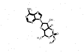 CC(C)OP1(=O)O[C@@H](C)C2O[C@@H](n3cnc4c(N)ncnc43)[C@H](O)[C@@H]2O1